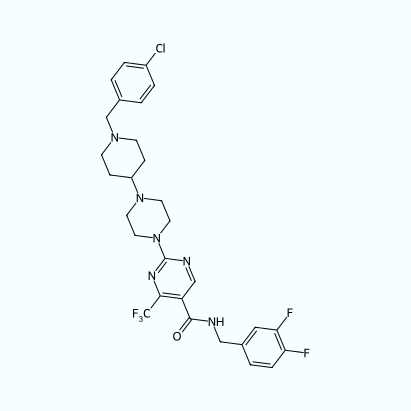 O=C(NCc1ccc(F)c(F)c1)c1cnc(N2CCN(C3CCN(Cc4ccc(Cl)cc4)CC3)CC2)nc1C(F)(F)F